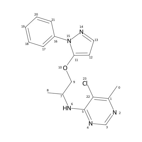 Cc1ncnc(NC(C)COc2ccnn2-c2ccccc2)c1Cl